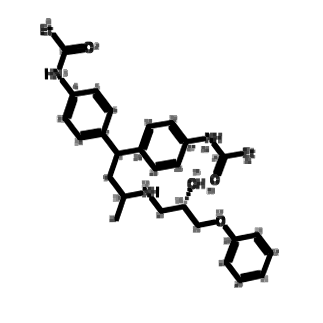 CCC(=O)Nc1ccc(C(CC(C)NC[C@H](O)COc2ccccc2)c2ccc(NC(=O)CC)cc2)cc1